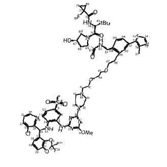 COc1nc(Nc2cc(S(C)(=O)=O)ccc2N[C@@H](c2cccc3c2OC(F)(F)O3)c2ncccc2Cl)nc(N2CCN(CCOCCOCCc3cc(-c4scnc4C)ccc3CNC(=O)[C@@H]3C[C@@H](O)CN3C(=O)[C@@H](NC(=O)C3(F)CC3)C(C)(C)C)CC2)n1